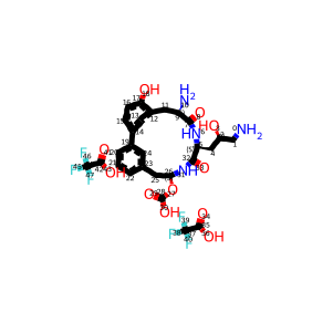 NC[C@H](O)C[C@@H]1NC(=O)[C@@H](N)Cc2cc(ccc2O)-c2cccc(c2)C[C@H](OC(=O)O)NC1=O.O=C(O)C(F)(F)F.O=C(O)C(F)(F)F